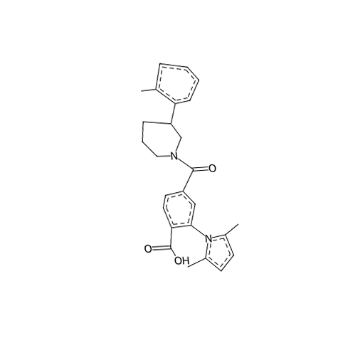 Cc1ccccc1C1CCCN(C(=O)c2ccc(C(=O)O)c(-n3c(C)ccc3C)c2)C1